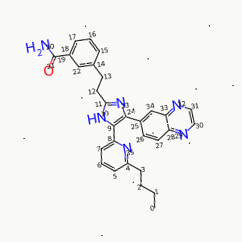 CCCCc1cccc(-c2[nH]c(CCc3cccc(C(N)=O)c3)nc2-c2ccc3nccnc3c2)n1